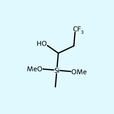 CO[Si](C)(OC)C(O)CC(F)(F)F